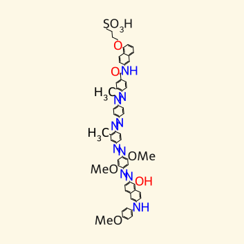 COc1ccc(Nc2ccc3c(O)c(N=Nc4cc(OC)c(N=Nc5ccc(N=Nc6ccc(N=Nc7ccc(C(=O)Nc8ccc9c(OCCCCS(=O)(=O)O)cccc9c8)cc7C)cc6)c(C)c5)cc4OC)ccc3c2)cc1